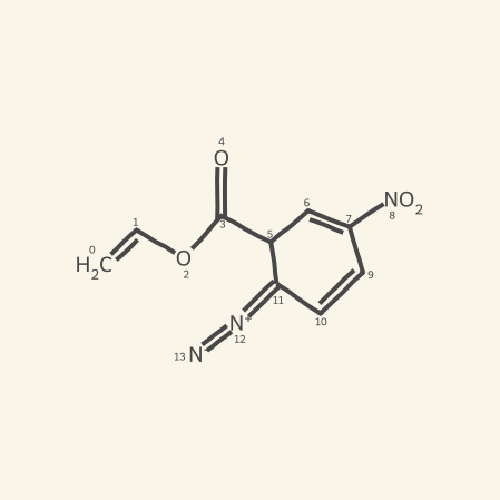 C=COC(=O)C1C=C([N+](=O)[O-])C=CC1=[N+]=[N-]